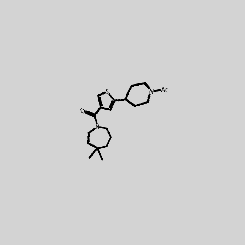 CC(=O)N1CCC(c2cc(C(=O)N3CCCC(C)(C)CC3)cs2)CC1